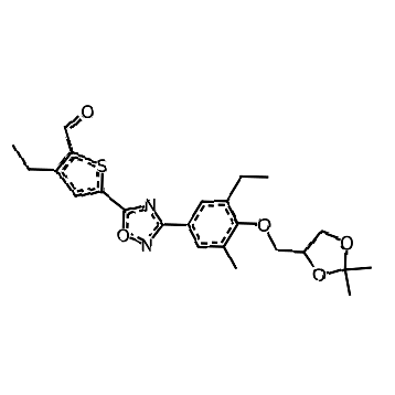 CCc1cc(-c2nc(-c3cc(C)c(OCC4COC(C)(C)O4)c(CC)c3)no2)sc1C=O